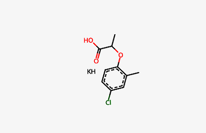 Cc1cc(Cl)ccc1OC(C)C(=O)O.[KH]